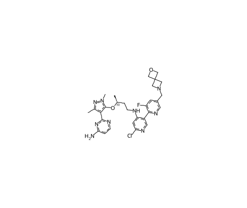 Cc1nn(C)c(O[C@@H](C)CCNc2cc(Cl)ncc2-c2ncc(CN3CC4(COC4)C3)cc2F)c1-c1nccc(N)n1